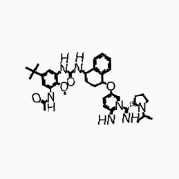 COc1c(NC(C)=O)cc(C(C)(C)C)cc1NC(=O)NC1CCC(Oc2ccc(=N)n(C(=N)[C@@H]3CCCN3C(C)C)c2)c2ccccc21